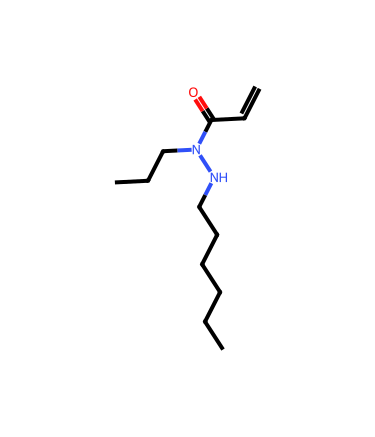 C=CC(=O)N(CCC)NCCCCCC